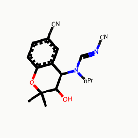 CCCN(C=NC#N)C1c2cc(C#N)ccc2OC(C)(C)C1O